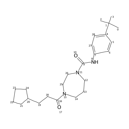 CC(C)(C)c1ccc(NC(=O)N2CCCN(C(=O)CCC3CCCC3)CC2)cc1